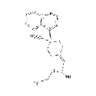 CCOC(O)C=C1CCC(C#N)(c2ccnc3ccccc23)CC1